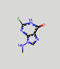 CNn1cnc2c(=O)[nH]c(F)nc21